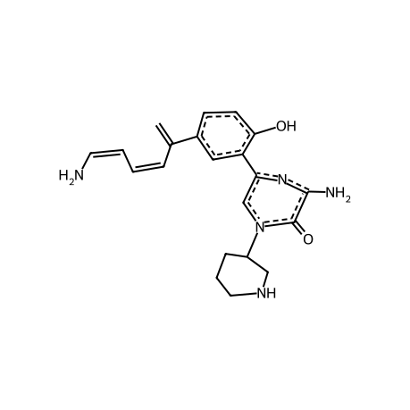 C=C(/C=C\C=C/N)c1ccc(O)c(-c2cn(C3CCCNC3)c(=O)c(N)n2)c1